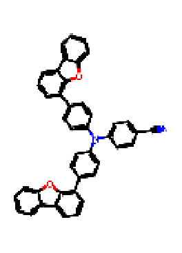 N#Cc1ccc(N(c2ccc(-c3cccc4c3oc3ccccc34)cc2)c2ccc(-c3cccc4c3oc3ccccc34)cc2)cc1